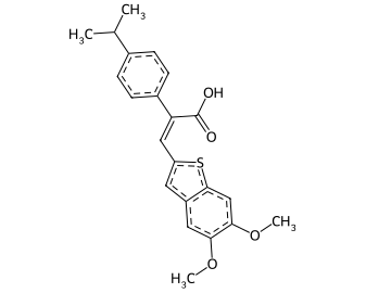 COc1cc2cc(C=C(C(=O)O)c3ccc(C(C)C)cc3)sc2cc1OC